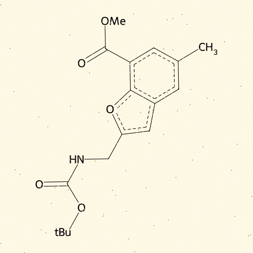 COC(=O)c1cc(C)cc2cc(CNC(=O)OC(C)(C)C)oc12